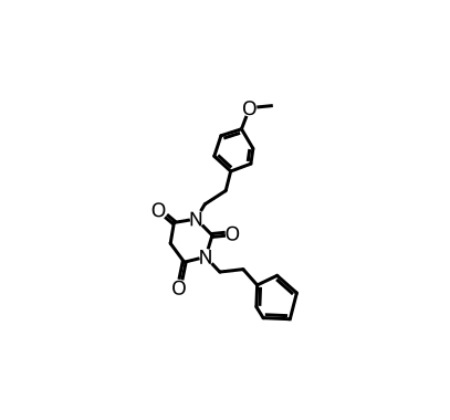 COc1ccc(CCN2C(=O)CC(=O)N(CCc3ccccc3)C2=O)cc1